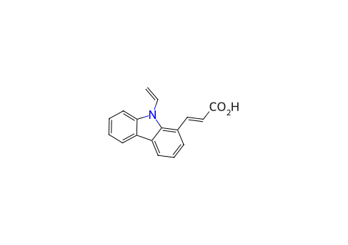 C=Cn1c2ccccc2c2cccc(C=CC(=O)O)c21